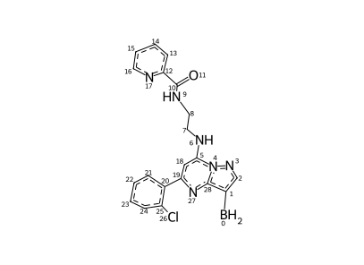 Bc1cnn2c(NCCNC(=O)c3ccccn3)cc(-c3ccccc3Cl)nc12